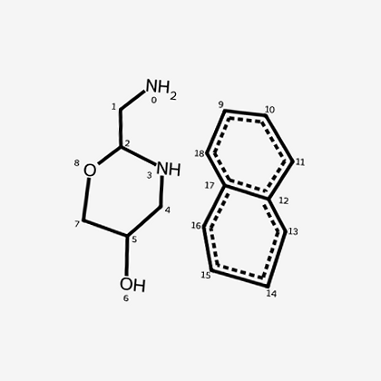 NCC1NCC(O)CO1.c1ccc2ccccc2c1